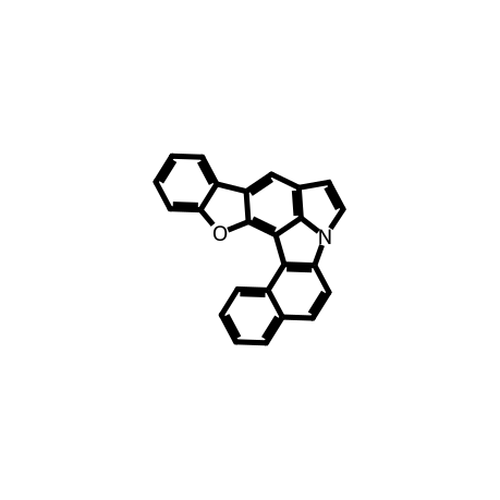 c1ccc2c(c1)ccc1c2c2c3oc4ccccc4c3cc3ccn1c32